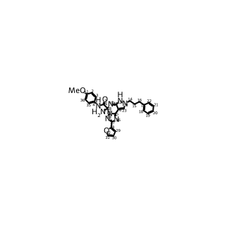 COc1ccc(NC(=O)C2(N)N=C3NN(CCCc4ccccc4)C=C3c3nc(-c4ccco4)nn32)cc1